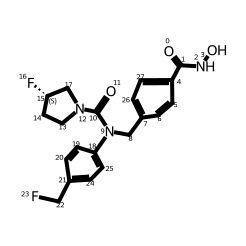 O=C(NO)c1ccc(CN(C(=O)N2CC[C@H](F)C2)c2ccc(CF)cc2)cc1